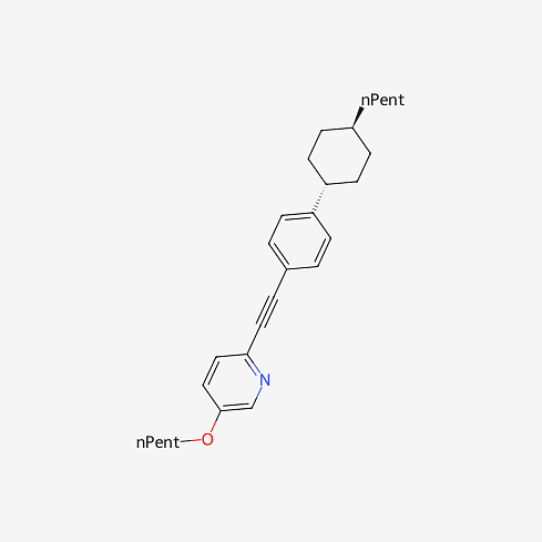 CCCCCOc1ccc(C#Cc2ccc([C@H]3CC[C@H](CCCCC)CC3)cc2)nc1